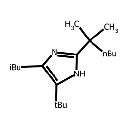 CCCCC(C)(C)c1nc(C(C)CC)c(C(C)(C)C)[nH]1